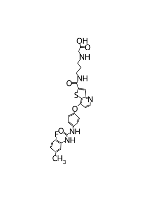 Cc1ccc(F)c(NC(=O)Nc2ccc(Oc3ccnc4cc(C(=O)NCCCNCC(=O)O)sc34)cc2)c1